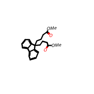 COC(=O)CCCC1(CCCC(=O)OC)c2ccccc2-c2ccccc21